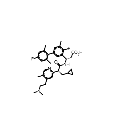 Cc1cnc([C@H](CC2CC2)C(=O)N[C@@H](CC(=O)O)c2cc(-c3c(C)cc(F)cc3C)cc(C)c2F)cc1CCN(C)C